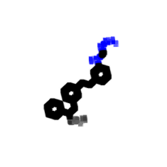 NN=CNc1cccc(CCc2cccc(CC(C(=O)O)c3ccccc3)c2)c1